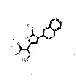 CNC(C(=O)O)c1cn(C2CCc3ccccc3C2)c(=S)[nH]1.Cl